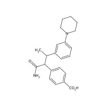 CC(c1cccc(N2CCCCC2)c1)C(C(N)=O)c1ccc(C(=O)O)cc1